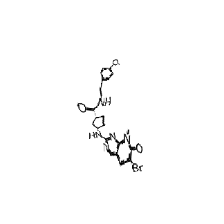 COc1ccc(CNC(=O)[C@@H]2CC[C@H](Nc3ncc4cc(Br)c(=O)n(C)c4n3)C2)cc1